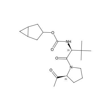 CC(=O)[C@@H]1CCCN1C(=O)[C@@H](NC(=O)OC1CC2CC2C1)C(C)(C)C